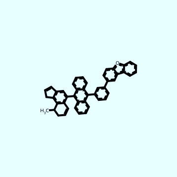 CC1CC=Cc2c(-c3c4ccccc4c(-c4cccc(-c5ccc6oc7ccccc7c6c5)c4)c4ccccc34)cc3c(c21)CC=C3